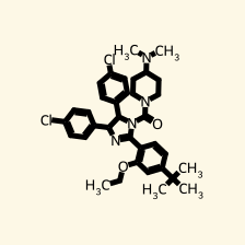 CCOc1cc(C(C)(C)C)ccc1C1=NC(c2ccc(Cl)cc2)C(c2ccc(Cl)cc2)N1C(=O)N1CCC(N(C)C)CC1